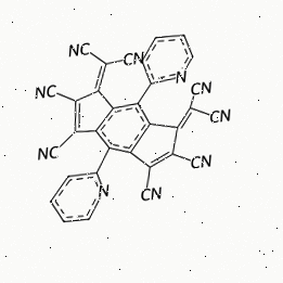 N#CC(C#N)=C1C(C#N)=C(C#N)c2c1c(-c1ccccn1)c1c(c2-c2ccccn2)C(C#N)=C(C#N)C1=C(C#N)C#N